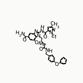 CCn1nc(C)cc1C(=O)Nc1nc2cc(C(N)=O)cc(OC)c2n1CCCC(=O)NCc1ccc(Oc2ccccc2)cc1